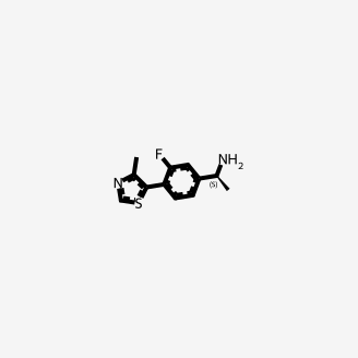 Cc1ncsc1-c1ccc([C@H](C)N)cc1F